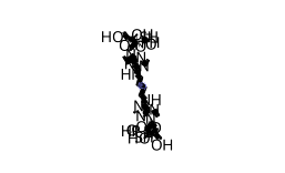 O=[PH](S)O[C@@H]1[C@H](O)C(CO)O[C@H]1n1cnc2c(NC/C=C/CNc3ncnc4c3ncn4[C@@H]3OC(CO)[C@@H](O)[C@H]3O[PH](=O)S)ncnc21